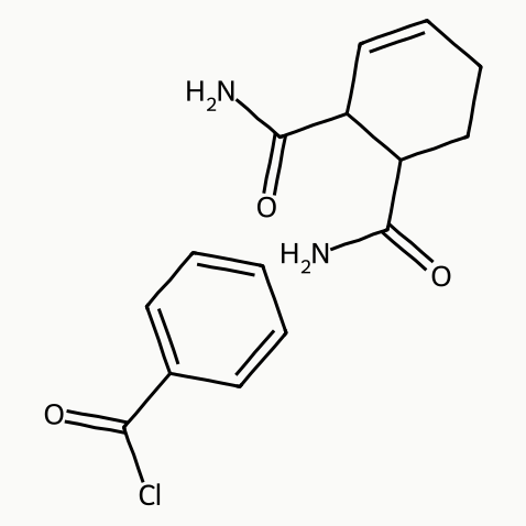 NC(=O)C1C=CCCC1C(N)=O.O=C(Cl)c1ccccc1